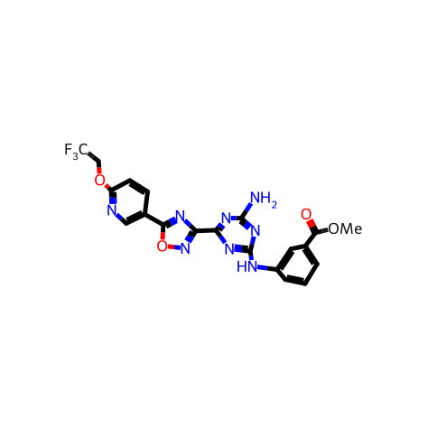 COC(=O)c1cccc(Nc2nc(N)nc(-c3noc(-c4ccc(OCC(F)(F)F)nc4)n3)n2)c1